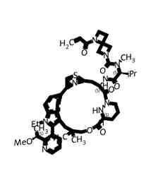 C=CC(=O)N1CCC12CN(C(=O)N(C)[C@H](C(=O)N[C@H]1Cc3nc(cs3)-c3ccc4c(c3)c(c(-c3cccnc3[C@H](C)OC)n4CC)CC(C)(C)COC(=O)[C@@H]3CCCN(N3)C1=O)C(C)C)C2